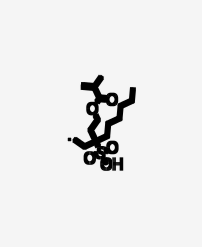 [CH2]CC(CCCCCC)(CCOC(=O)C(=C)C)S(=O)(=O)O